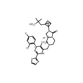 CCOC(=O)C1=C(CN2CCN3C(=O)N(C4C5CC4(CC(C)(C)C(=O)O)C5)C[C@@H]3C2)NC(c2nccs2)=N[C@H]1c1ccc(F)cc1Cl